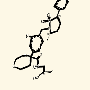 C[C@@H](O)CNC(=O)C1(c2ccc(CN3[C@@H](C)CC[C@H](c4ccccc4)S3(=O)=O)c(F)c2)CCOCC1